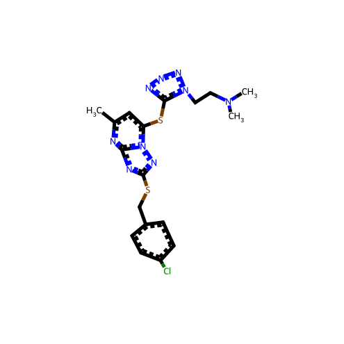 Cc1cc(Sc2nnnn2CCN(C)C)n2nc(SCc3ccc(Cl)cc3)nc2n1